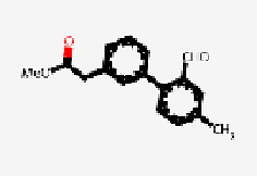 COC(=O)Cc1cccc(-c2ccc(C)cc2C=O)c1